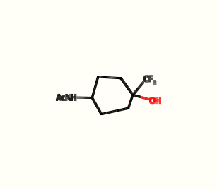 CC(=O)NC1CCC(O)(C(F)(F)F)CC1